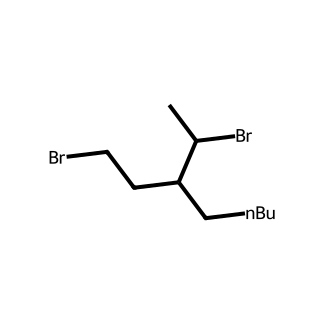 CCCCCC(CCBr)C(C)Br